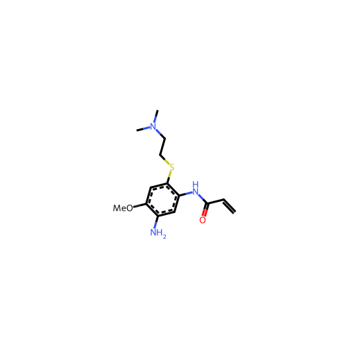 C=CC(=O)Nc1cc(N)c(OC)cc1SCCN(C)C